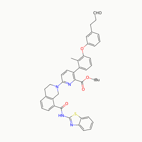 Cc1c(Oc2cccc(CCC=O)c2)cccc1-c1ccc(N2CCc3cccc(C(=O)Nc4nc5ccccc5s4)c3C2)nc1C(=O)OC(C)(C)C